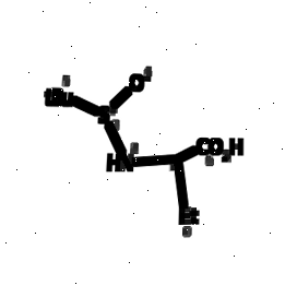 CCC(N[S+]([O-])C(C)(C)C)C(=O)O